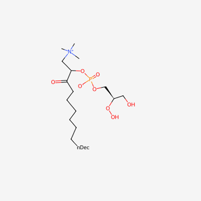 CCCCCCCCCCCCCCCCC(=O)C(C[N+](C)(C)C)OP(=O)([O-])OC[C@@H](CO)OO